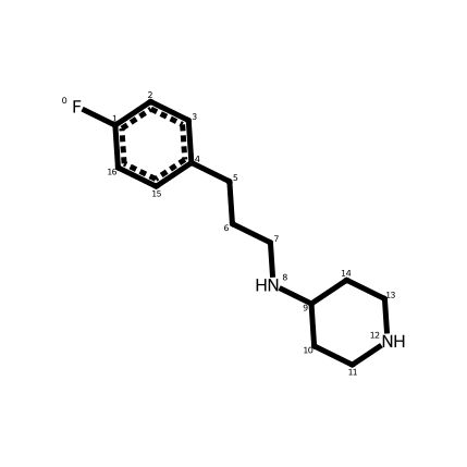 Fc1ccc(CCCNC2CCNCC2)cc1